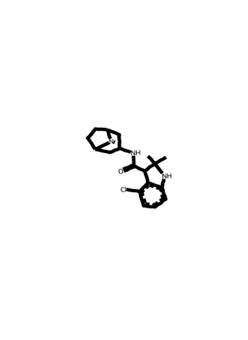 CN1C2CCC1CC(NC(=O)C1c3c(Cl)cccc3NC1(C)C)C2